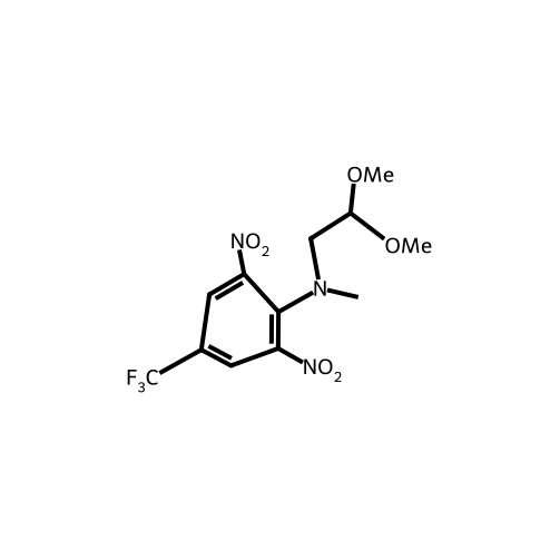 COC(CN(C)c1c([N+](=O)[O-])cc(C(F)(F)F)cc1[N+](=O)[O-])OC